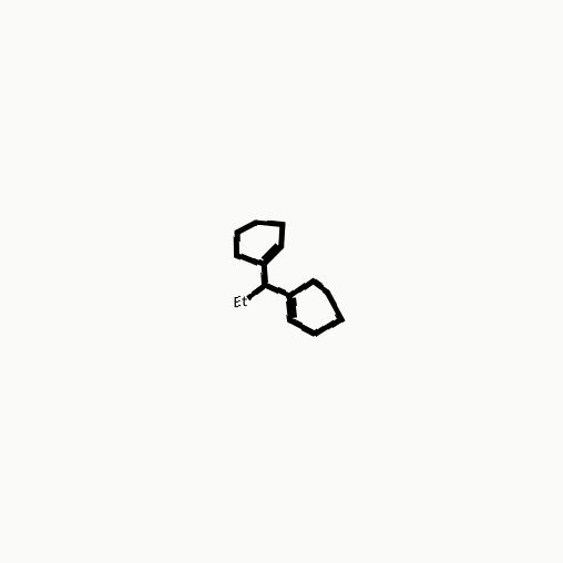 CCC(C1=CCCCC1)C1=CCCCC1